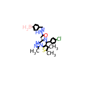 Bc1ccc(/C=N\NC(=O)C[C@@H]2N=C(c3ccc(Cl)cc3)c3c(sc(C)c3C)-n3c(C)nnc32)cc1